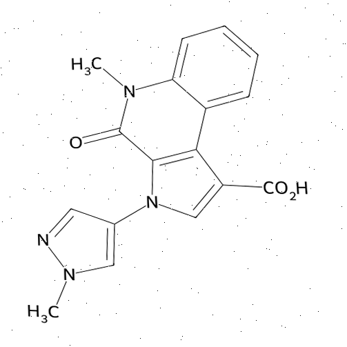 Cn1cc(-n2cc(C(=O)O)c3c4ccccc4n(C)c(=O)c32)cn1